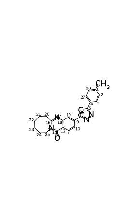 Cc1ccc(-c2nnc(-c3ccc4c(=O)n5c(nc4c3)CCCCCC5)o2)cc1